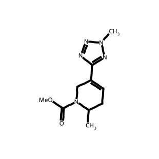 COC(=O)N1CC(c2nnn(C)n2)=CCC1C